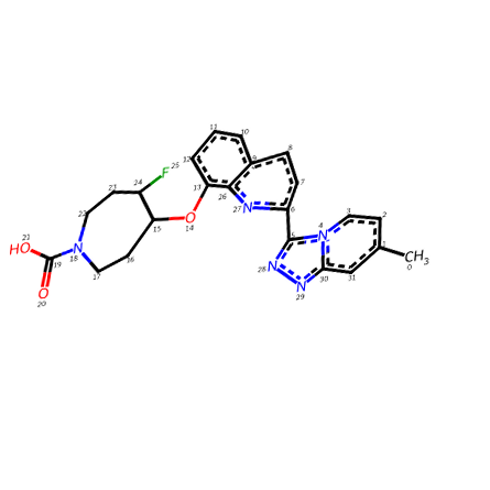 Cc1ccn2c(-c3ccc4cccc(OC5CCN(C(=O)O)CCC5F)c4n3)nnc2c1